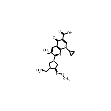 C.CO/N=C1\CN(c2nc3c(cc2F)c(=O)c(C(=O)O)cn3C2CC2)CC1CN